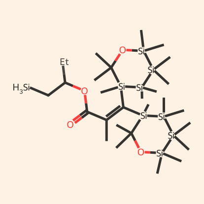 CCC(C[SiH3])OC(=O)C(C)=C([Si]1(C)C(C)(C)O[Si](C)(C)[Si](C)(C)[Si]1(C)C)[Si]1(C)C(C)(C)O[Si](C)(C)[Si](C)(C)[Si]1(C)C